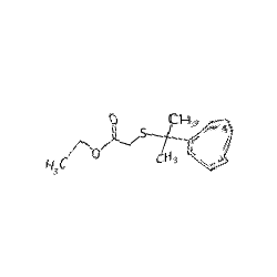 CCOC(=O)CSC(C)(C)c1ccccc1